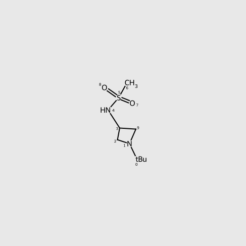 CC(C)(C)N1CC(NS(C)(=O)=O)C1